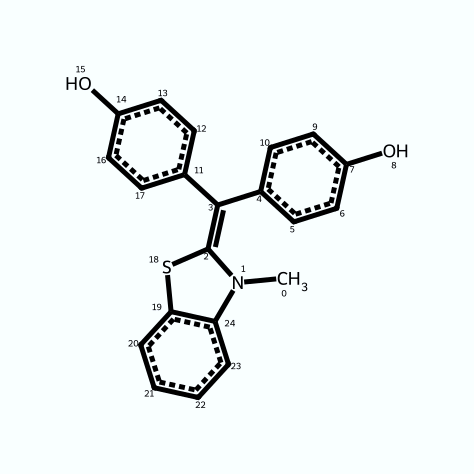 CN1C(=C(c2ccc(O)cc2)c2ccc(O)cc2)Sc2ccccc21